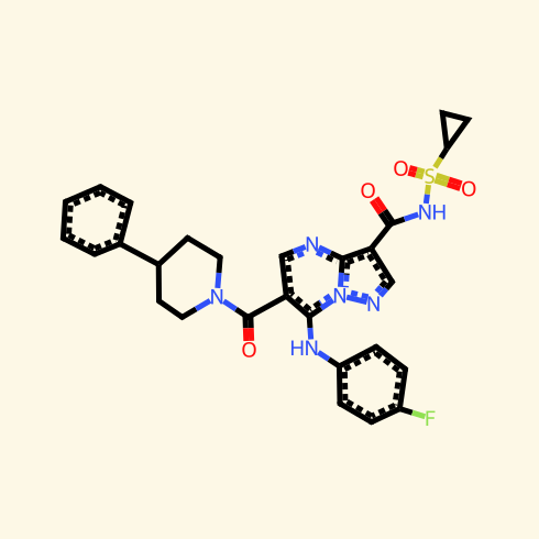 O=C(NS(=O)(=O)C1CC1)c1cnn2c(Nc3ccc(F)cc3)c(C(=O)N3CCC(c4ccccc4)CC3)cnc12